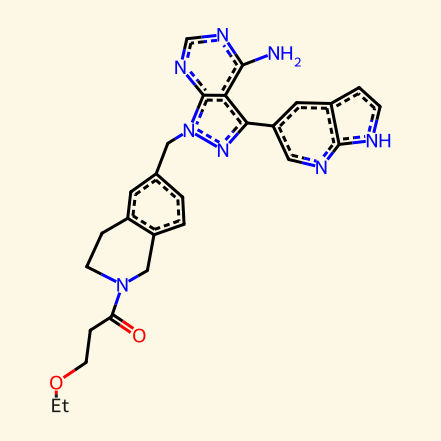 CCOCCC(=O)N1CCc2cc(Cn3nc(-c4cnc5[nH]ccc5c4)c4c(N)ncnc43)ccc2C1